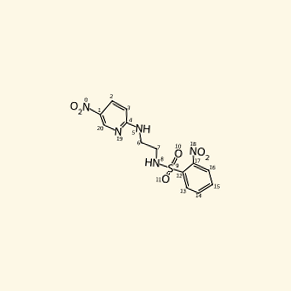 O=[N+]([O-])c1ccc(NCCNS(=O)(=O)c2ccccc2[N+](=O)[O-])nc1